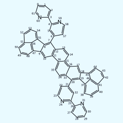 c1ccc(-c2cc(-c3c4c(cc5c3ccc3c6cc7c(c(-c8ccnc(-c9ccccn9)c8)c6ccc53)-c3cccc5cccc-7c35)-c3cccc5cccc-4c35)ccn2)nc1